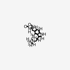 [2H]c1[nH]c2c([2H])c([2H])c(C[C@@]3([2H])COC(=O)N3)c([2H])c2c1C([2H])([2H])CN(C)C([2H])([2H])[2H]